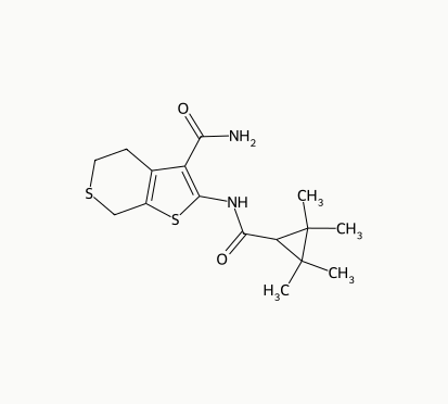 CC1(C)C(C(=O)Nc2sc3c(c2C(N)=O)CCSC3)C1(C)C